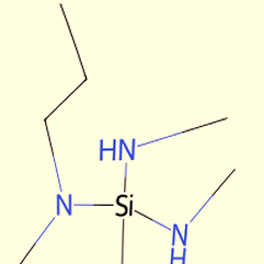 CCCN(C)[Si](C)(NC)NC